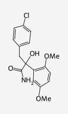 COc1ccc(OC)c(C(O)(Cc2ccc(Cl)cc2)C(N)=O)c1